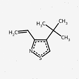 C=Cc1nscc1C(C)(C)C